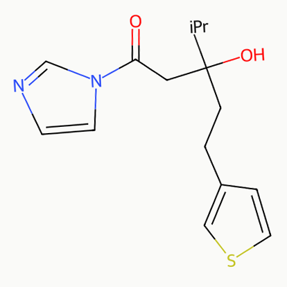 CC(C)C(O)(CCc1ccsc1)CC(=O)n1ccnc1